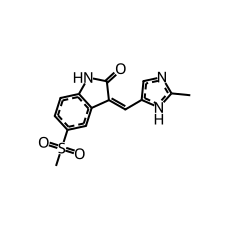 Cc1ncc(/C=C2\C(=O)Nc3ccc(S(C)(=O)=O)cc32)[nH]1